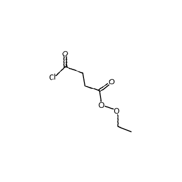 CCOOC(=O)CCC(=O)Cl